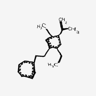 C=C(C)c1cc(CC)c(CCc2ccccc2)cc1C